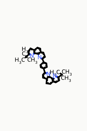 CC(C)(C)c1ccc2ccc3ccc(-c4ccc(-c5ccc6ccc7ccc(C(C)(C)C)nc7c6n5)cc4)nc3c2n1